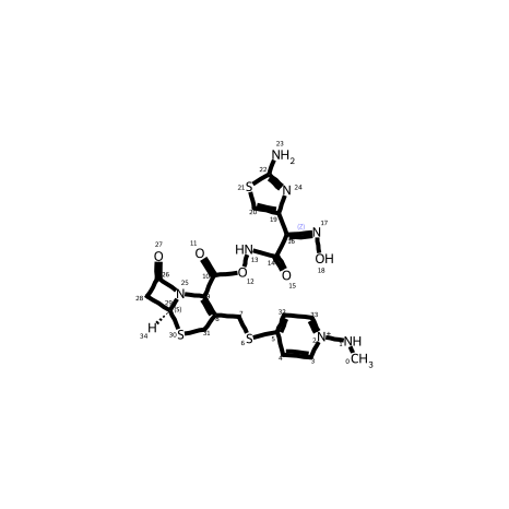 CN[n+]1ccc(SCC2=C(C(=O)ONC(=O)/C(=N\O)c3csc(N)n3)N3C(=O)C[C@@H]3SC2)cc1